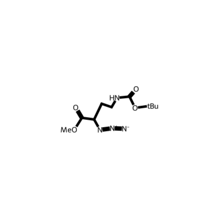 COC(=O)C(CCNC(=O)OC(C)(C)C)N=[N+]=[N-]